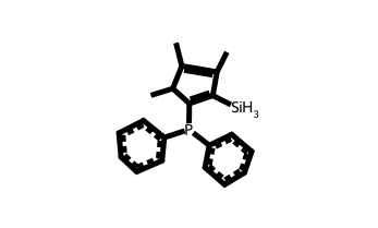 CC1=C(C)C(C)C(P(c2ccccc2)c2ccccc2)=C1[SiH3]